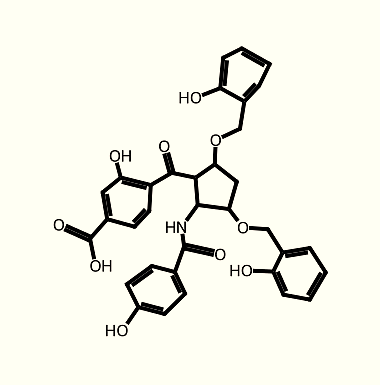 O=C(O)c1ccc(C(=O)C2C(OCc3ccccc3O)CC(OCc3ccccc3O)C2NC(=O)c2ccc(O)cc2)c(O)c1